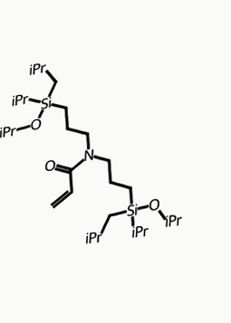 C=CC(=O)N(CCC[Si](CC(C)C)(OC(C)C)C(C)C)CCC[Si](CC(C)C)(OC(C)C)C(C)C